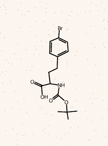 CC(C)(C)OC(=O)NC(CCc1ccc(Br)cc1)C(=O)O